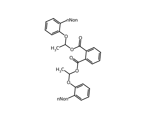 CCCCCCCCCc1ccccc1OC(C)OC(=O)c1ccccc1C(=O)OC(C)Oc1ccccc1CCCCCCCCC